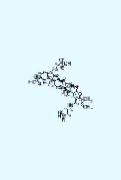 CON(C)C(=O)C(/C=C1\CN=C(/C=C/C=C/C=C2/N(CCCS(=O)(=O)O)c3ccc(S(=O)(=O)O)cc3C2(C)c2ccc(C(=O)O)cc2)C1(C)C)=C/NCCC[SH](=O)=O